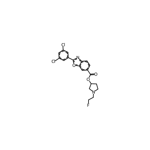 O=C(OC1CCN(CCF)C1)c1ccc2nc(-c3cc(Cl)cc(Cl)c3)oc2c1